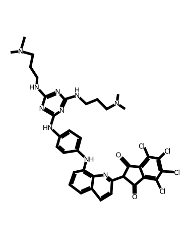 CN(C)CCCNc1nc(NCCCN(C)C)nc(Nc2ccc(Nc3cccc4ccc(C5C(=O)c6c(Cl)c(Cl)c(Cl)c(Cl)c6C5=O)nc34)cc2)n1